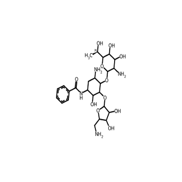 C[C@@H](O)C1OC(OC2C(N)CC(NC(=O)c3ccccc3)C(O)C2OC2OC(CN)C(O)C2O)C(N)C(O)C1O